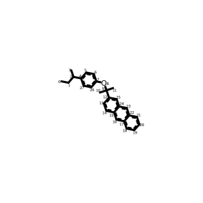 CCC(C)c1ccc(OC(C)(C)c2ccc3cc4ccccc4cc3c2)cc1